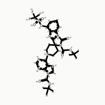 CC(C)(C)OC(=O)N1C(=O)n2c(nc3c(OS(=O)(=O)C(F)(F)F)cccc32)C12CCN(c1ncnc3c1ncn3C(=O)OC(C)(C)C)CC2